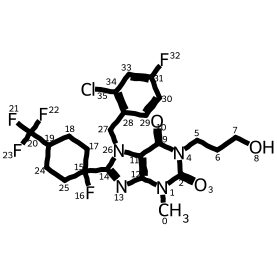 Cn1c(=O)n(CCCO)c(=O)c2c1nc(C1(F)CCC(C(F)(F)F)CC1)n2Cc1ccc(F)cc1Cl